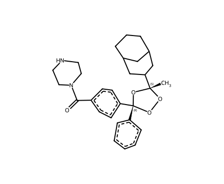 C[C@@]1(C2CC3CCCC(C3)C2)OO[C@](c2ccccc2)(c2ccc(C(=O)N3CCNCC3)cc2)O1